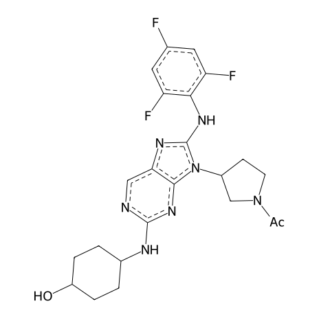 CC(=O)N1CCC(n2c(Nc3c(F)cc(F)cc3F)nc3cnc(NC4CCC(O)CC4)nc32)C1